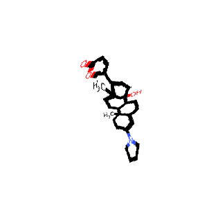 CC12CCC(N3CCCC3)CC1CCC1C2CCC2(C)C(c3ccc(=O)oc3)CCC12O